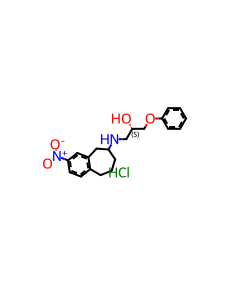 Cl.O=[N+]([O-])c1ccc2c(c1)CC(NC[C@H](O)COc1ccccc1)CCC2